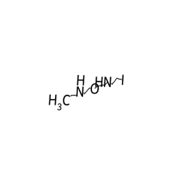 CCCNCCOCCNCCI